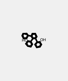 Oc1ccccc1-c1cccc(-c2ccccc2)c1-c1ccccc1O